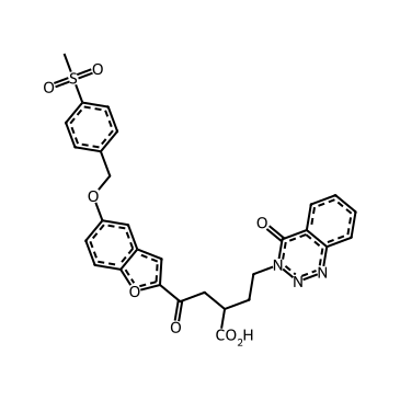 CS(=O)(=O)c1ccc(COc2ccc3oc(C(=O)CC(CCn4nnc5ccccc5c4=O)C(=O)O)cc3c2)cc1